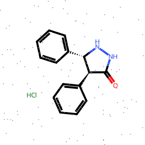 Cl.O=C1NN[C@@H](c2ccccc2)[C@@H]1c1ccccc1